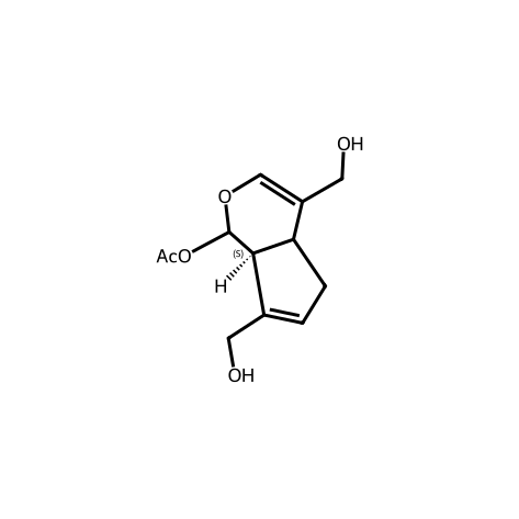 CC(=O)OC1OC=C(CO)C2CC=C(CO)[C@@H]12